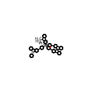 C=Cc1ccc(-c2ccc3c(c2)C2(c4ccccc4-3)c3ccccc3-c3ccc(-c4ccc(N(c5ccc(-c6ccc7c(c6)c6ccccc6n7-c6ccccc6)cc5)c5ccc6c(c5)C(C)(C)c5ccccc5-6)cc4)cc32)cc1